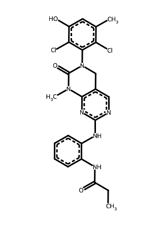 CCC(=O)Nc1ccccc1Nc1ncc2c(n1)N(C)C(=O)N(c1c(Cl)c(C)cc(O)c1Cl)C2